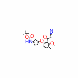 COc1c(C)ccc(O[C@@H]2CC[C@H](NC(=O)OC(C)(C)C)C2)c1C(=O)CC#N